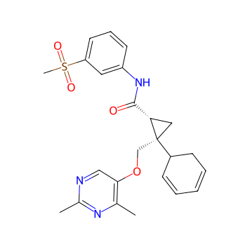 Cc1ncc(OC[C@@]2(C3C=CC=CC3)C[C@H]2C(=O)Nc2cccc(S(C)(=O)=O)c2)c(C)n1